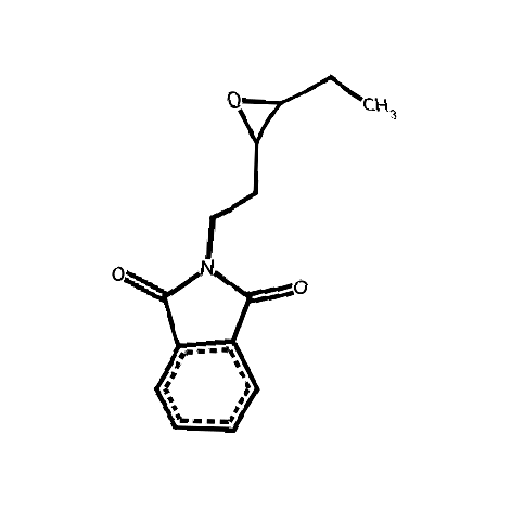 CCC1OC1CCN1C(=O)c2ccccc2C1=O